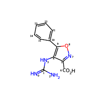 N=C(N)Nc1c(C(=O)O)noc1-c1ccccc1